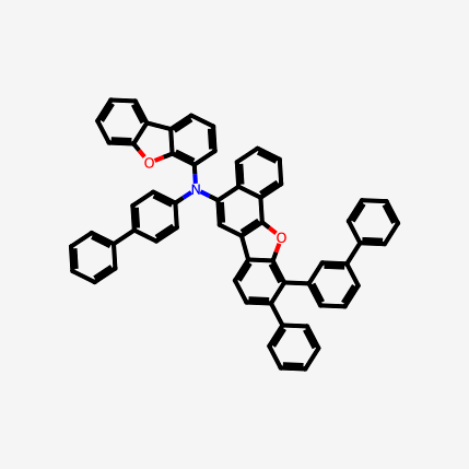 c1ccc(-c2ccc(N(c3cc4c5ccc(-c6ccccc6)c(-c6cccc(-c7ccccc7)c6)c5oc4c4ccccc34)c3cccc4c3oc3ccccc34)cc2)cc1